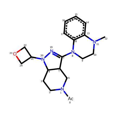 CC(=O)N1CCC2C(C1)C(N1CCN(C)c3ccccc31)=NN2C1COC1